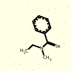 CCN(C)C(=[Se])c1ccccc1